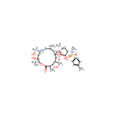 CC[C@H]1OC(=O)[C@H](C)[C@@H](O)[C@H](C)[C@@H](O[C@@H]2O[C@H](C)C[C@H](N(C)S(=O)(=O)c3ccc([N+](=O)[O-])cc3)[C@H]2O)[C@](C)(O)C[C@@H](C)CN[C@H](C)[C@@H](O)[C@]1(C)O